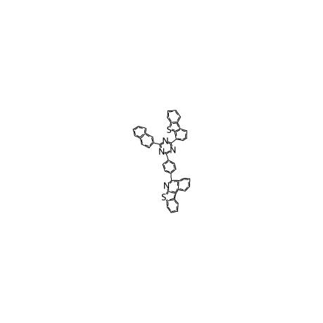 c1ccc2cc(-c3nc(-c4ccc(-c5nc6sc7ccccc7c6c6ccccc56)cc4)nc(-c4cccc5c4sc4ccccc45)n3)ccc2c1